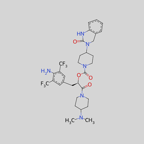 CN(C)C1CCN(C(=O)[C@@H](Cc2cc(C(F)(F)F)c(N)c(C(F)(F)F)c2)OC(=O)N2CCC(N3Cc4ccccc4NC3=O)CC2)CC1